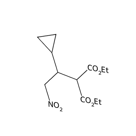 CCOC(=O)C(C(=O)OCC)C(C[N+](=O)[O-])C1CC1